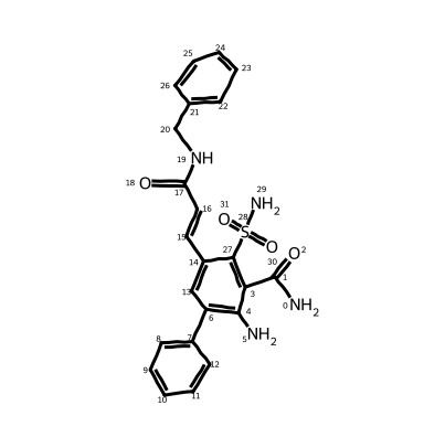 NC(=O)c1c(N)c(-c2ccccc2)cc(/C=C/C(=O)NCc2ccccc2)c1S(N)(=O)=O